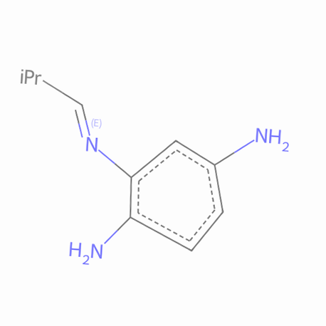 CC(C)/C=N/c1cc(N)ccc1N